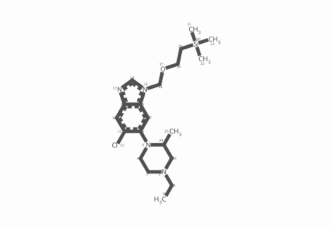 CCN1CCN(c2cc3c(cc2Cl)ncn3COCC[Si](C)(C)C)C(C)C1